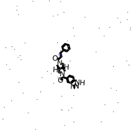 O=C(/C=C/c1ccccc1)N1C[C@@H]2CN(C(=O)c3ccc4[nH]nnc4c3)C[C@H]2C1